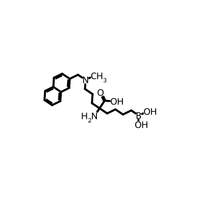 CN(CCCC(N)(CCCCB(O)O)C(=O)O)Cc1ccc2ccccc2c1